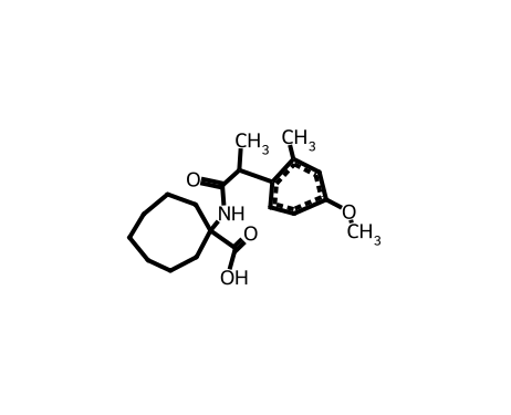 COc1ccc(C(C)C(=O)NC2(C(=O)O)CCCCCCC2)c(C)c1